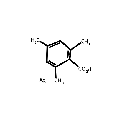 Cc1cc(C)c(C(=O)O)c(C)c1.[Ag]